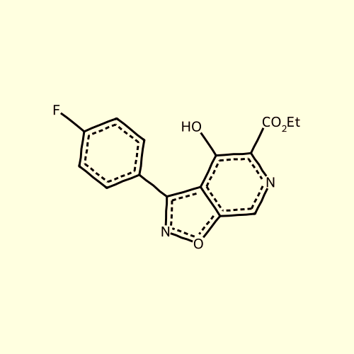 CCOC(=O)c1ncc2onc(-c3ccc(F)cc3)c2c1O